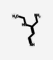 CCN/C(=C\C=N)CN